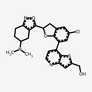 CN(C)C1CCc2noc(C3Cc4cc(Cl)cc(-c5ccnc6cc(CO)sc56)c4O3)c2C1